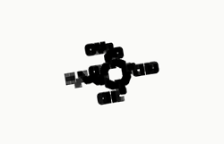 COC(=O)CN1CCN(CC=O)CCN(CC=O)CCN(CC(O)CN)CC1